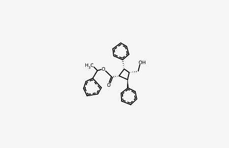 CC(OC(=O)[C@H]1[C@H](c2ccccc2)[C@@H](CO)[C@H]1c1ccccc1)c1ccccc1